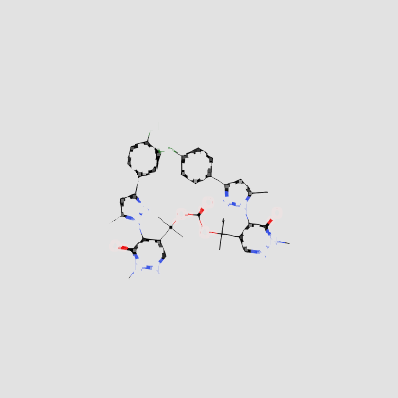 Cc1cc(-c2ccc(Cl)cc2)nn1-c1c(C(C)(C)OC(=O)OC(C)(C)c2cnn(C)c(=O)c2-n2nc(-c3ccc(Cl)cc3)cc2C)cnn(C)c1=O